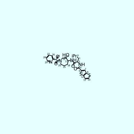 CC(C)CC(NC(=O)c1cc2sccc2s1)C(=O)NC1CCCN(S(=O)(=O)c2ccccn2)C[C@@H]1O